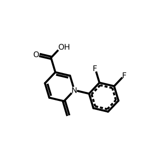 C=C1C=CC(C(=O)O)=CN1c1cccc(F)c1F